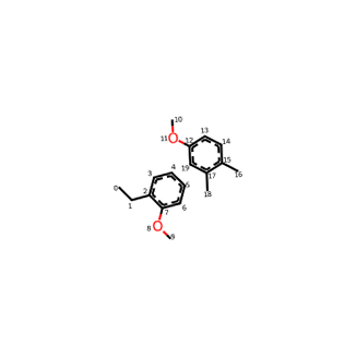 CCc1ccccc1OC.COc1ccc(C)c(C)c1